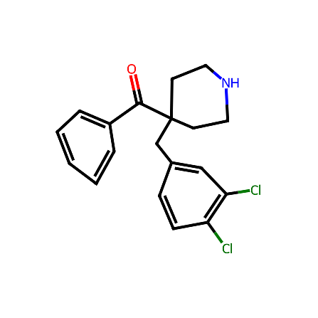 O=C(c1ccccc1)C1(Cc2ccc(Cl)c(Cl)c2)CCNCC1